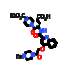 CCOC(=O)N1CCN(C(=O)[C@H](CCC(=O)O)NC(=O)c2cc(OCC(=O)N3CCN(CC)CC3)c3ccccc3n2)CC1